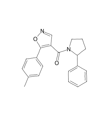 Cc1ccc(-c2oncc2C(=O)N2CCCC2c2ccccc2)cc1